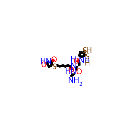 NCCNC(=O)[C@H](CC(=O)NC1CCC(S)C1S)NC(=O)CCCCCSC1CC(=O)NC1=O